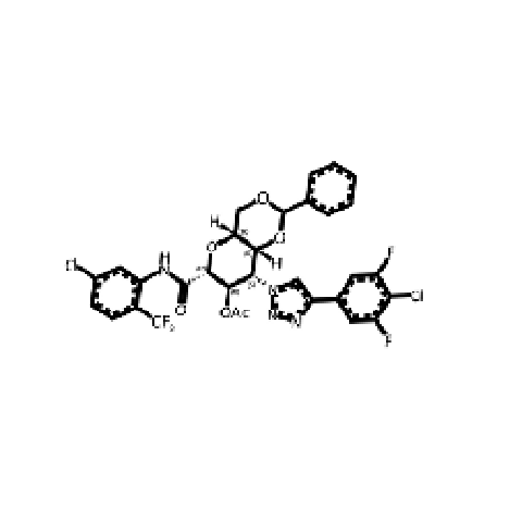 CC(=O)O[C@@H]1[C@@H](n2cc(-c3cc(F)c(Cl)c(F)c3)nn2)[C@H]2OC(c3ccccc3)OC[C@H]2O[C@H]1C(=O)Nc1cc(Cl)ccc1C(F)(F)F